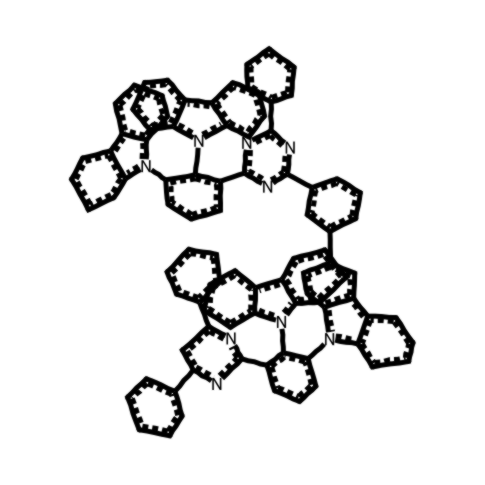 c1ccc(-c2cc(-c3ccccc3)nc(-c3cccc(-n4c5ccccc5c5cc(-c6cccc(-c7nc(-c8ccccc8)nc(-c8cccc(-n9c%10ccccc%10c%10ccccc%109)c8-n8c9ccccc9c9ccccc98)n7)c6)ccc54)c3-n3c4ccccc4c4ccccc43)n2)cc1